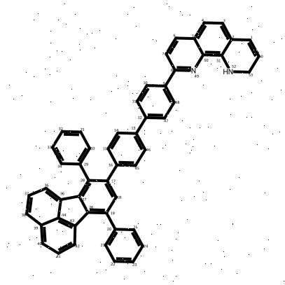 C1=Cc2ccc3ccc(-c4ccc(-c5ccc(-c6cc(-c7ccccc7)c7c(c6-c6ccccc6)-c6cccc8cccc-7c68)cc5)cc4)nc3c2NC1